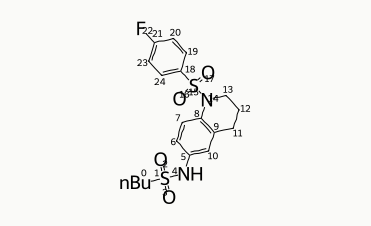 CCCCS(=O)(=O)Nc1ccc2c(c1)CCCN2S(=O)(=O)c1ccc(F)cc1